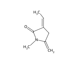 C=C1C/C(=C/C)C(=O)N1C